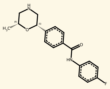 C[C@@H]1CNC[C@H](c2ccc(C(=O)Nc3ccc(F)cc3)cc2)O1